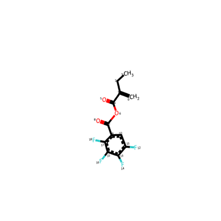 C=C(CC)C(=O)OC(=O)c1cc(F)c(F)c(F)c1F